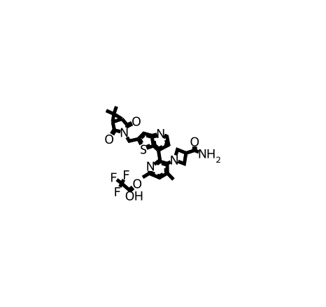 Cc1cc(C)c(N2CC(C(N)=O)C2)c(-c2ccnc3cc(CN4C(=O)C5C(C4=O)C5(C)C)sc23)n1.O=C(O)C(F)(F)F